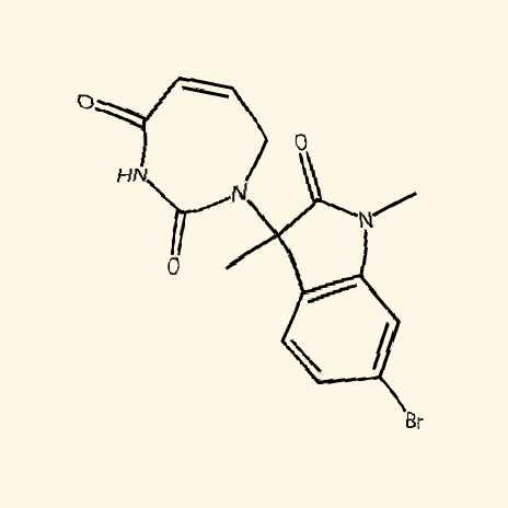 CN1C(=O)C(C)(N2CC=CC(=O)NC2=O)c2ccc(Br)cc21